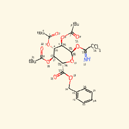 CC(C)(C)C(=O)O[C@@H]1[C@@H](OC(=O)C(C)(C)C)[C@@H](OC(=N)C(Cl)(Cl)Cl)O[C@H](C(=O)OCc2ccccc2)[C@H]1OC(=O)C(C)(C)C